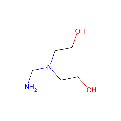 NCN(CCO)CCO